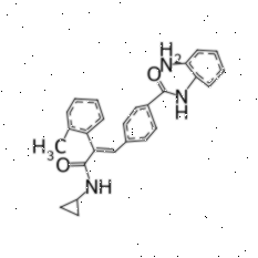 Cc1ccccc1/C(=C\c1ccc(C(=O)Nc2ccccc2N)cc1)C(=O)NC1CC1